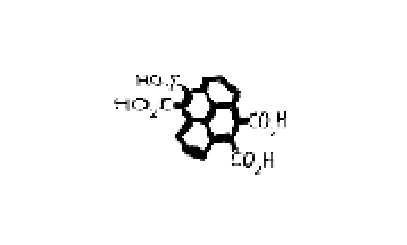 O=C(O)c1c(C(=O)O)c2cccc3c(C(=O)O)c(C(=O)O)c4cccc1c4c23